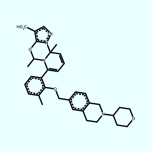 Cc1cccc(C2=CC=CC3(C)N2C(C)Oc2c(C(=O)O)cnn23)c1OCc1ccc2c(c1)CCN(C1CCOCC1)C2